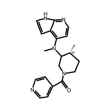 C[C@@H]1CCN(C(=O)c2ccncc2)CC1N(C)c1ccnc2[nH]ccc12